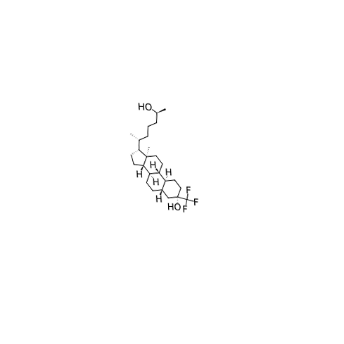 C[C@H](O)CCC[C@@H](C)[C@H]1CC[C@H]2[C@@H]3CC[C@H]4C[C@](O)(C(F)(F)F)CC[C@@H]4[C@H]3CC[C@]12C